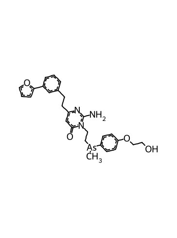 C[As](CCn1c(N)nc(CCc2cccc(-c3ccco3)c2)cc1=O)c1ccc(OCCO)cc1